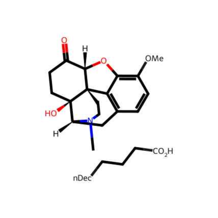 CCCCCCCCCCCCCC(=O)O.COc1ccc2c3c1O[C@H]1C(=O)CC[C@@]4(O)[C@@H](C2)N(C)CC[C@]314